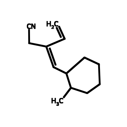 C=C/C(=C\C1CCCCC1C)CC#N